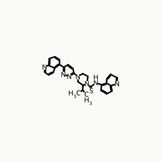 CC(C)C1CN(c2ccc(-c3cccc4ncccc34)nn2)CCN1C(=S)Nc1cccc2ncccc12